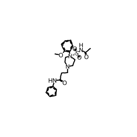 COc1ccccc1[N+]1(S(=O)(=O)NC(C)=O)CCN(CCC(=O)Nc2ccccc2)CC1